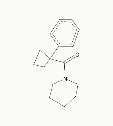 O=C(N1CCCCC1)C1(c2ccccc2)CCC1